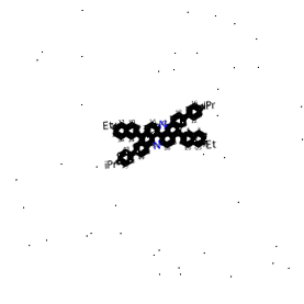 CCc1ccc2cc(-c3c4cc(-c5ccc(C(C)C)cc5)ccc4c4nc5ccc6c(-c7ccc8cc(CC)ccc8c7)c7cc(-c8ccc(C(C)C)cc8)ccc7c7nc8ccc3c4c8c5c67)ccc2c1